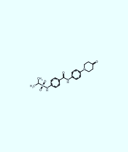 CC(C)S(=O)(=O)Nc1ccc(C(=O)Nc2ccc(N3CCC(=O)CC3)cc2)cc1